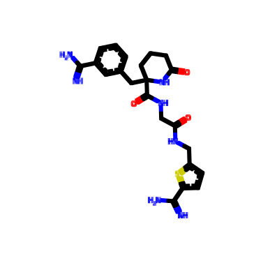 N=C(N)c1cccc(CC2(C(=O)NCC(=O)NCc3ccc(C(=N)N)s3)CCCC(=O)N2)c1